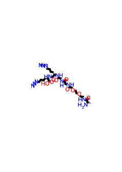 C[C@H](N)C(=O)NCCOCCOCC(=O)NCC(=O)NCC(=O)N[C@@H](CCCCN=[N+]=[N-])C(=O)N[C@@H](CCCCN=[N+]=[N-])C(=O)O